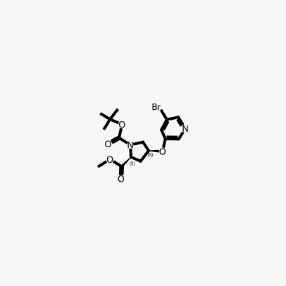 COC(=O)[C@@H]1C[C@H](Oc2cncc(Br)c2)CN1C(=O)OC(C)(C)C